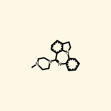 CN1CCN(C2=Nc3ccccc3N3CCc4cccc2c43)CC1